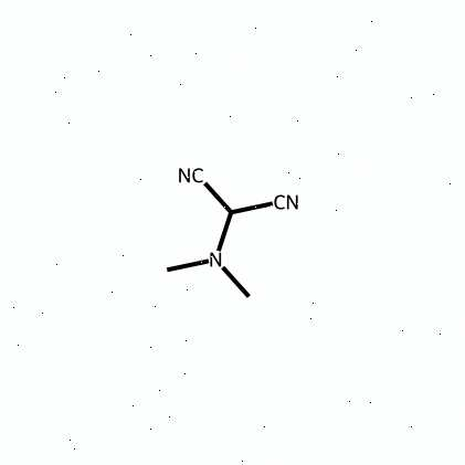 CN(C)C(C#N)C#N